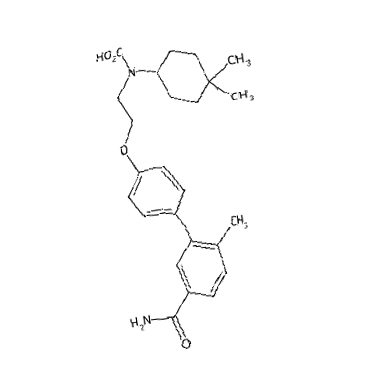 Cc1ccc(C(N)=O)cc1-c1ccc(OCCN(C(=O)O)C2CCC(C)(C)CC2)cc1